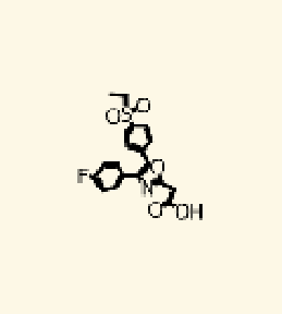 CCS(=O)(=O)c1ccc(-c2oc(CC(=O)O)nc2-c2ccc(F)cc2)cc1